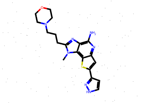 Cn1c(CCCN2CCOCC2)nc2c(N)nc3cc(-c4cc[nH]n4)sc3c21